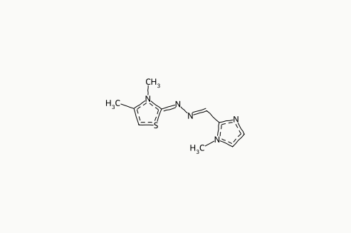 Cc1csc(=NN=Cc2nccn2C)n1C